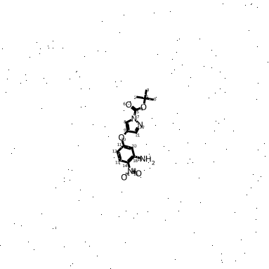 CC(C)(C)OC(=O)n1cc(Oc2ccc([N+](=O)[O-])c(N)c2)cn1